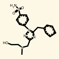 CN(CCO)Cc1nc(Cc2ccccc2)n(-c2ccc(S(N)(=O)=O)cc2)n1